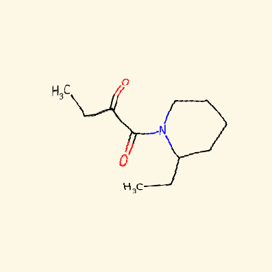 CCC(=O)C(=O)N1CCCCC1CC